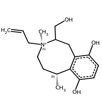 C=CC[N@+]1(C)CC[C@@H](C)c2c(O)ccc(O)c2CC1CO